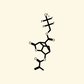 C=C(C)C(=O)OC1C2CC3C1OC(=O)C3C2C(=O)OCC(F)(F)C(F)(F)C(F)(F)F